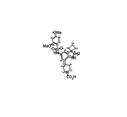 COc1ccc(S(=O)(=O)Nc2cc(C3=CCN(C(=O)O)CC3)c3c(c2)C2(CCC2)C(=O)N3)c(OC)c1